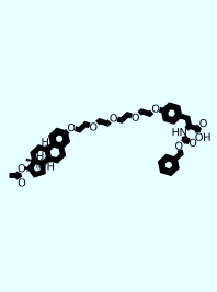 CC(=O)O[C@@H]1CC[C@@H]2[C@H]3CCc4cc(OCCOCCOCCOCCOc5ccc(CC(NC(=O)OCc6ccccc6)C(=O)O)cc5)ccc4[C@@H]3CC[C@]21C